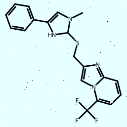 CN1C=C(c2ccccc2)NC1SCc1cn2c(C(F)(F)F)cccc2n1